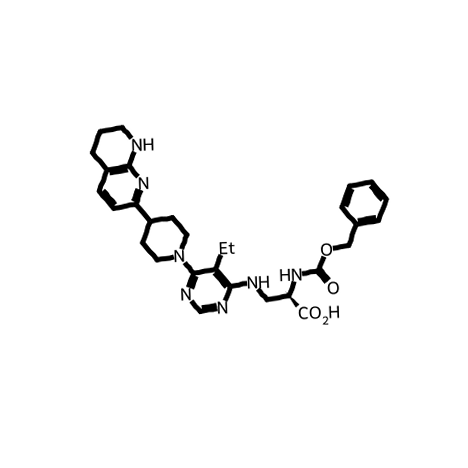 CCc1c(NC[C@@H](NC(=O)OCc2ccccc2)C(=O)O)ncnc1N1CCC(c2ccc3c(n2)NCCC3)CC1